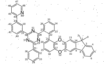 CC1(C)c2ccccc2-c2cc3c(cc21)Oc1c(cccc1-c1ccccc1-c1nc(-c2ccccc2)nc(-c2cccc(-c4ccccn4)c2)n1)O3